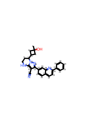 CC1(O)CC(C2CCNc3c(C#N)c(-c4ccc5ccc(-c6ccccc6)nc5c4)nn32)C1